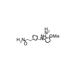 COc1cccc2c1c(N)nn2Cc1cccc(CCC(N)=O)c1